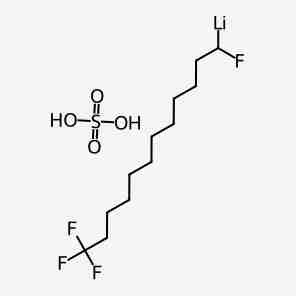 O=S(=O)(O)O.[Li][CH](F)CCCCCCCCCCC(F)(F)F